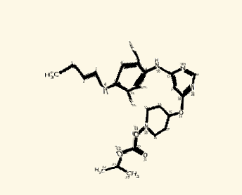 CCCCNc1cc(F)c(Nc2cc(OC3CCN(OC(=O)OC(C)C)CC3)ncn2)cc1F